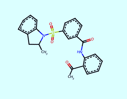 CC(=O)c1ccccc1NC(=O)c1cccc(S(=O)(=O)N2c3ccccc3CC2C)c1